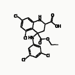 CCOC(=O)C1(Nc2cc(Cl)cc(Cl)c2)CC(C(=O)O)Nc2cc(Cl)cc(Cl)c21